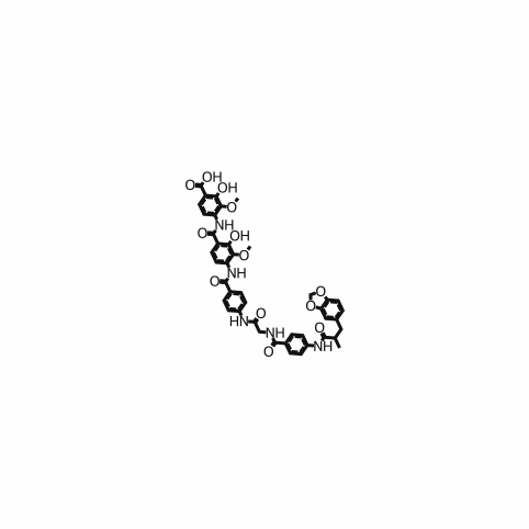 COc1c(NC(=O)c2ccc(NC(=O)c3ccc(NC(=O)CNC(=O)c4ccc(NC(=O)C(C)Cc5ccc6c(c5)OCO6)cc4)cc3)c(OC)c2O)ccc(C(=O)O)c1O